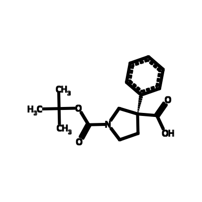 CC(C)(C)OC(=O)N1CC[C@@](C(=O)O)(c2ccccc2)C1